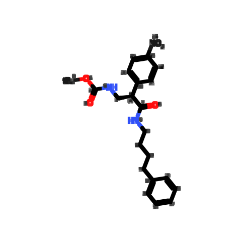 CC(C)(C)OC(=O)NC[C@H](C(=O)NCCCCc1ccccc1)c1ccc([N+](=O)[O-])cc1